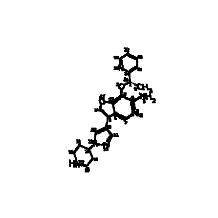 C[C@H](Oc1c(N)ncc2c(-c3cnn(C4CCNCC4)c3)coc12)c1ccccn1